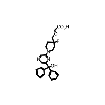 O=C(O)COCC1(F)CCN(c2cncc(C(O)(c3ccccc3)c3ccccc3)n2)CC1